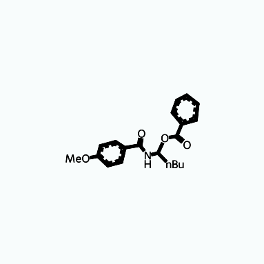 CCCCC(NC(=O)c1ccc(OC)cc1)OC(=O)c1ccccc1